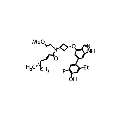 CCc1cc(O)c(F)cc1-c1cc(O[C@H]2C[C@H](N(CCOC)C(=O)/C=C/CN(C)C)C2)c2cn[nH]c2c1